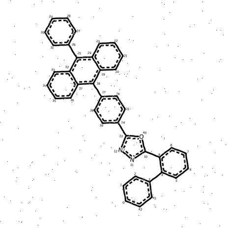 c1ccc(-c2ccccc2-c2nnc(-c3ccc(-c4c5ccccc5c(-c5ccccc5)c5ccccc45)cc3)o2)cc1